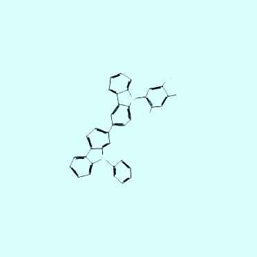 CC(C)(C)c1cc(C#N)c(-n2c3ccccc3c3cc(-c4ccc5c6ccccc6n(-c6ccccc6)c5c4)ccc32)cc1C#N